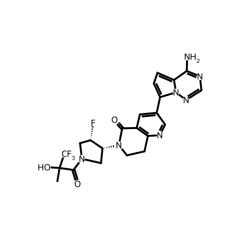 CC(O)(C(=O)N1C[C@@H](N2CCc3ncc(-c4ccc5c(N)ncnn45)cc3C2=O)[C@@H](F)C1)C(F)(F)F